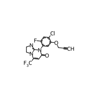 C#CCOc1cc(N2C(=O)C=C(C(F)(F)F)N3CCN=C32)c(F)cc1Cl